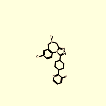 CCN1Cc2cc(Cl)ccc2-n2c(nnc2C2CCC(c3ncccc3F)CC2)C1